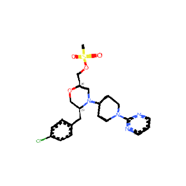 CS(=O)(=O)OC[C@H]1CN(C2CCN(c3ncccn3)CC2)[C@@H](Cc2ccc(Cl)cc2)CO1